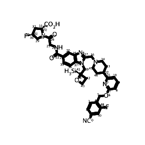 N#Cc1ccc(COc2cccc(C3CCN(Cc4nc5cc(C(=O)NCC(=O)N6C[C@@H](F)C[C@H]6C(=O)O)ccc5n4C[C@]4([SiH3])CCO4)CC3)n2)c(F)c1